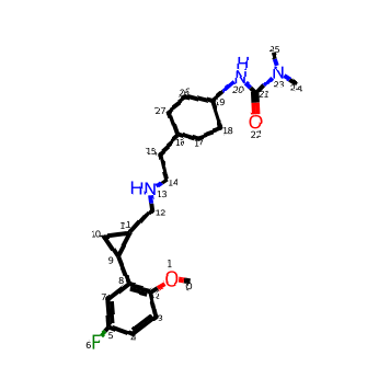 COc1ccc(F)cc1C1CC1CNCCC1CCC(NC(=O)N(C)C)CC1